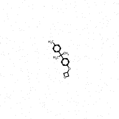 Cc1ccc(C(C)(C)c2ccc(OC3COC3)cc2)cc1